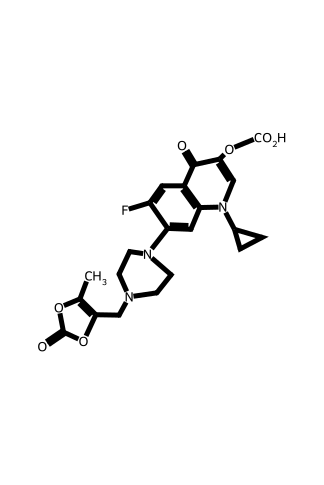 Cc1oc(=O)oc1CN1CCN(c2cc3c(cc2F)c(=O)c(OC(=O)O)cn3C2CC2)CC1